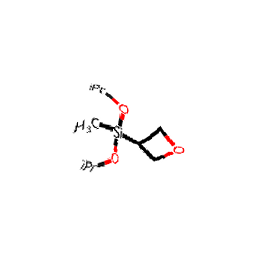 CC(C)O[Si](C)(OC(C)C)C1COC1